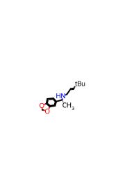 C[C@@H](NC/C=C/C(C)(C)C)c1ccc2c(c1)OCO2